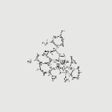 Cc1nc(F)ccc1[C@H](Nc1cc(C#N)c2ncc(C#N)c(NCC(C)(C)c3ccccc3)c2c1)C1=CN(C2(C(F)(F)F)CC2)NN1